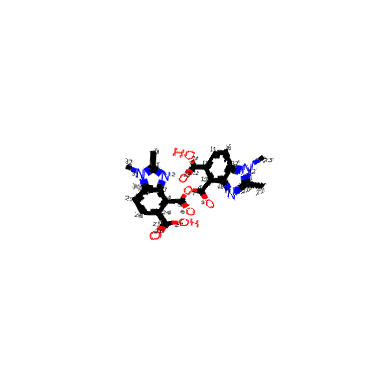 Cc1nc2c(C(=O)OC(=O)c3c(C(=O)O)ccc4c3nc(C)n4C)c(C(=O)O)ccc2n1C